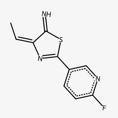 C/C=C1/N=C(c2ccc(F)nc2)SC1=N